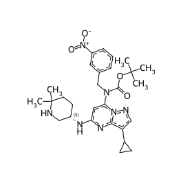 CC1(C)CC[C@H](Nc2cc(N(Cc3cccc([N+](=O)[O-])c3)C(=O)OC(C)(C)C)n3ncc(C4CC4)c3n2)CN1